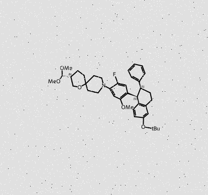 COc1cc(N2CCC3(CC[C@@H](C(OC)OC)CO3)CC2)c(F)cc1[C@@H]1c2ccc(OC(C)(C)C)cc2CC[C@@H]1c1ccccc1